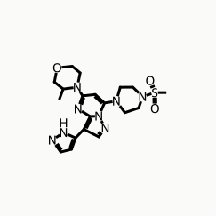 CC1COCCN1c1cc(N2CCN(S(C)(=O)=O)CC2)n2ncc(-c3ccn[nH]3)c2n1